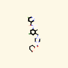 Cc1c(CN2CCN(C(=O)[C@H]3CCCCO3)[C@@H](C)C2)cc(Cl)cc1NC(=O)c1cncc(F)c1